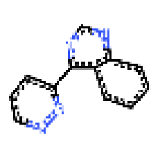 [c]1nc(-c2cccnn2)c2ccccc2n1